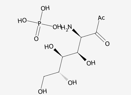 CC(=O)C(=O)[C@H](N)[C@@H](O)[C@H](O)[C@H](O)CO.O=P(O)(O)O